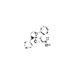 C/C(=C\C(=O)O)[PH]1(O)N(c2ccccc2)CCN1c1ccccc1